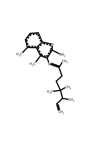 C=CC(C)C(C)(C)CC/C(C)=N/c1c(N)nc2cccc(C)c2c1C